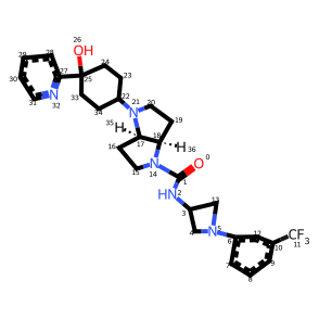 O=C(NC1CN(c2cccc(C(F)(F)F)c2)C1)N1CC[C@@H]2[C@H]1CCN2C1CCC(O)(c2ccccn2)CC1